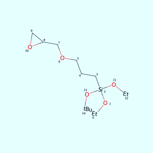 CCO[Si](CCCOCC1CO1)(OCC)OC(C)(C)C